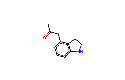 CC(=O)Cc1cccc2c1CCN2